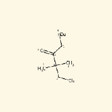 CCCCCC(=O)C(C)(C)CCl